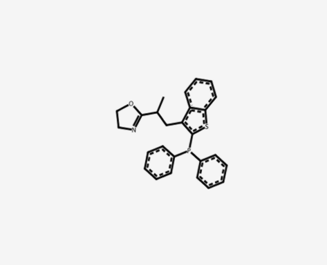 CC(Cc1c(P(c2ccccc2)c2ccccc2)sc2ccccc12)C1=NCCO1